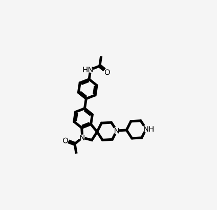 CC(=O)Nc1ccc(-c2ccc3c(c2)C2(CCN(C4CCNCC4)CC2)CN3C(C)=O)cc1